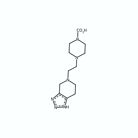 O=C(O)N1CCN(CCN2CCc3[nH]nnc3C2)CC1